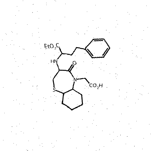 CCOC(=O)C(CCc1ccccc1)NC1CSC2CCCCC2N(CC(=O)O)C1=O